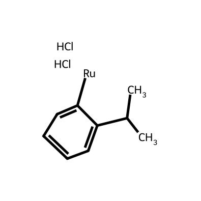 CC(C)c1cccc[c]1[Ru].Cl.Cl